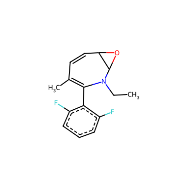 CCN1C(c2c(F)cccc2F)=C(C)C=CC2OC21